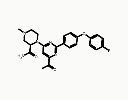 CC(=O)c1cc(N2CCN(C)CC2C(N)=O)nc(-c2ccc(Oc3ccc(F)cc3)cc2)n1